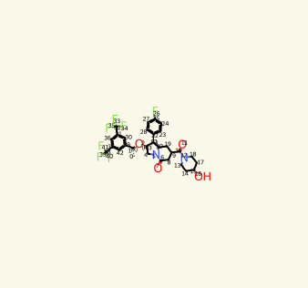 C[C@@H](O[C@H]1CN2C(=O)CC(C(=O)N3CCC(O)CC3)CC2[C@@H]1c1ccc(F)cc1)c1cc(C(F)(F)F)cc(C(F)(F)F)c1